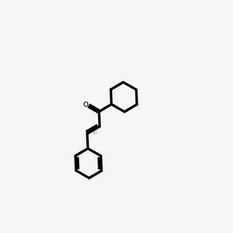 O=C(/C=C/C1C=CCC=C1)C1CCCCC1